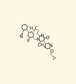 CCCc1nc(=O)c(-c2ccc(OCC3CC3)nc2)c(C)n1Cc1ccc(-c2ccccc2C#N)cc1F